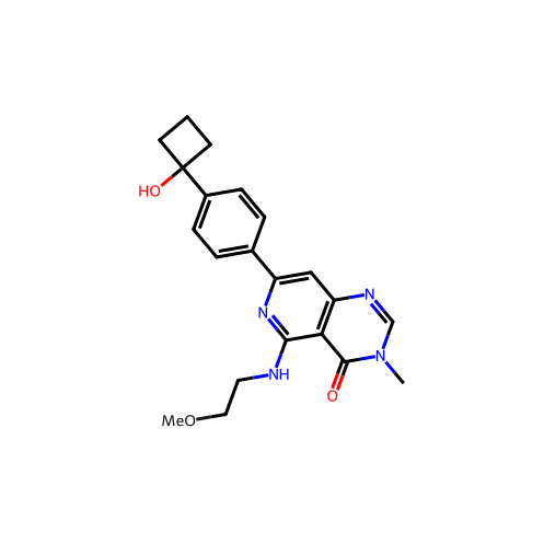 COCCNc1nc(-c2ccc(C3(O)CCC3)cc2)cc2ncn(C)c(=O)c12